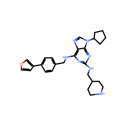 c1cc(-c2ccc(CNc3nc(NCC4CCNCC4)nc4c3ncn4C3CCCC3)cc2)co1